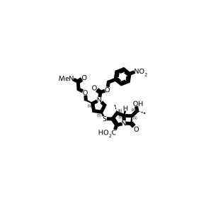 CNC(=O)COC[C@@H]1C[C@H](SC2=C(C(=O)O)N3C(=O)[C@H]([C@@H](C)O)[C@H]3[C@H]2C)CN1C(=O)OCc1ccc([N+](=O)[O-])cc1